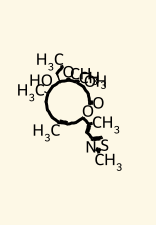 CCC[C@H]1C(=O)C(C)(C)[C@@H](O)CC(=O)OC(/C(C)=C/c2csc(C)n2)CC=C(C)CCC[C@H](C)[C@@H]1O